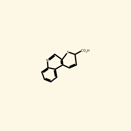 O=C(O)C1C=Cc2c(cnc3ccccc23)S1